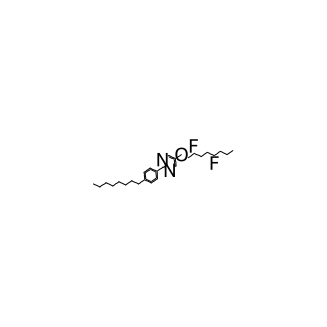 CCCCCCCCc1ccc(-c2ncc(OCC(F)CCC(F)CCC)cn2)cc1